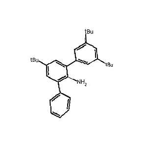 CC(C)(C)c1cc(-c2cc(C(C)(C)C)cc(-c3ccccc3)c2N)cc(C(C)(C)C)c1